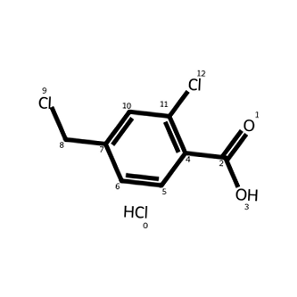 Cl.O=C(O)c1ccc(CCl)cc1Cl